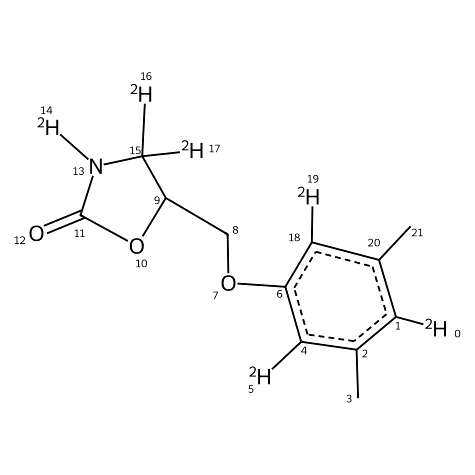 [2H]c1c(C)c([2H])c(OCC2OC(=O)N([2H])C2([2H])[2H])c([2H])c1C